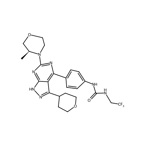 C[C@H]1COCCN1c1nc(-c2ccc(NC(=O)NCC(F)(F)F)cc2)c2c(C3CCOCC3)n[nH]c2n1